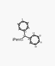 [CH2]CCC(C)C(c1ccccc1)c1ccccc1